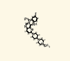 CC(C)Oc1cc(F)ccc1Nc1ncnc2ccc(N3CCC(N4CCN(C)CC4)CC3)nc12